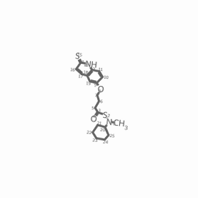 CN(SC(=O)CCCOc1ccc2[nH]c(=S)ccc2c1)C1CCCCC1